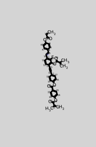 C=CC(=O)Oc1ccc(/C=C/c2ccc(C#Cc3ccc(OC(=O)c4ccc(OC(=O)C(=C)C)cc4)cc3)c(OC(=O)C(=C)C)c2F)cc1